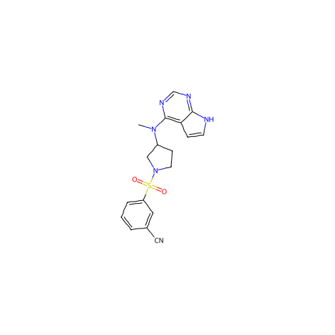 CN(c1ncnc2[nH]ccc12)C1CCN(S(=O)(=O)c2cccc(C#N)c2)C1